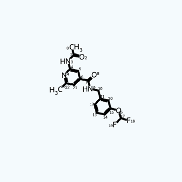 CC(=O)Nc1cc(C(=O)NCc2cccc(OC(F)F)c2)cc(C)n1